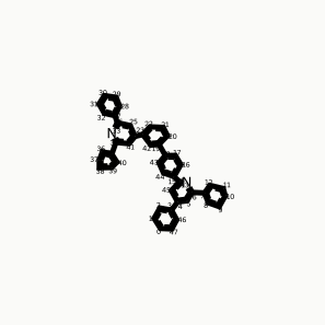 c1ccc(-c2cc(-c3ccccc3)nc(-c3ccc(-c4cccc(-c5cc(-c6ccccc6)nc(-c6ccccc6)c5)c4)cc3)c2)cc1